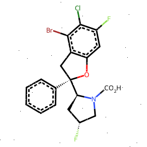 O=C(O)N1C[C@H](F)C[C@H]1[C@@]1(c2ccccc2)Cc2c(cc(F)c(Cl)c2Br)O1